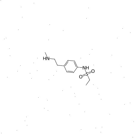 CCS(=O)(=O)Nc1ccc(CCNC)cc1